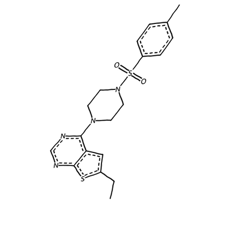 CCc1cc2c(N3CCN(S(=O)(=O)c4ccc(C)cc4)CC3)ncnc2s1